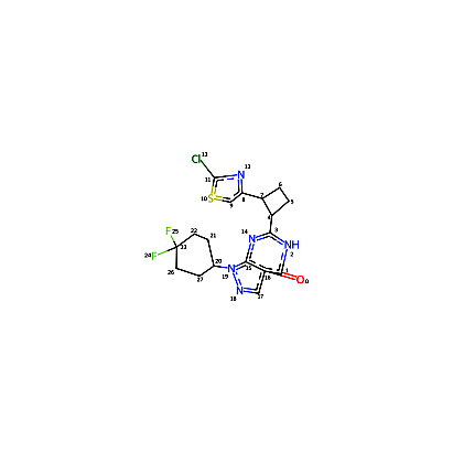 O=c1[nH]c(C2CCC2c2csc(Cl)n2)nc2c1cnn2C1CCC(F)(F)CC1